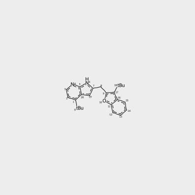 CC(C)(C)c1ccnc2[nH]c(Cc3oc4ccccc4c3C(C)(C)C)cc12